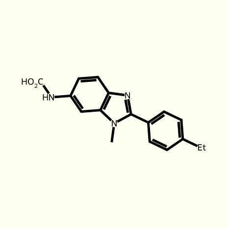 CCc1ccc(-c2nc3ccc(NC(=O)O)cc3n2C)cc1